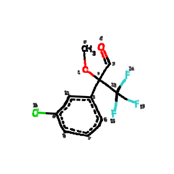 COC(C=O)(c1cccc(Cl)c1)C(F)(F)F